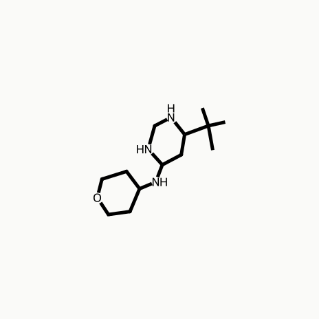 CC(C)(C)C1CC(NC2CCOCC2)NCN1